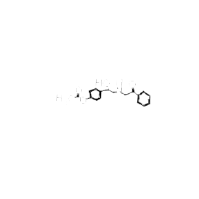 CC(=O)Oc1ccc([C@H](O)CNCC(=O)c2ccccc2)cc1